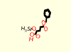 O=C(CCC(O[SiH3])C(=O)O)OCc1ccccc1